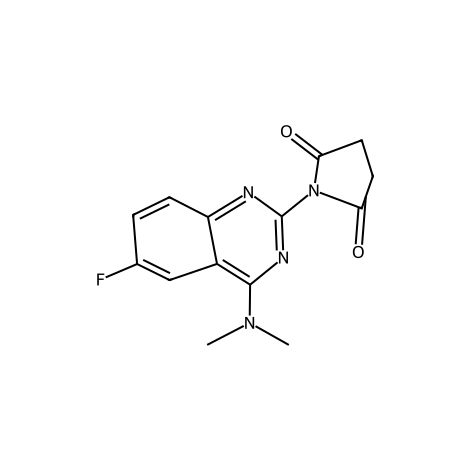 CN(C)c1nc(N2C(=O)CCC2=O)nc2ccc(F)cc12